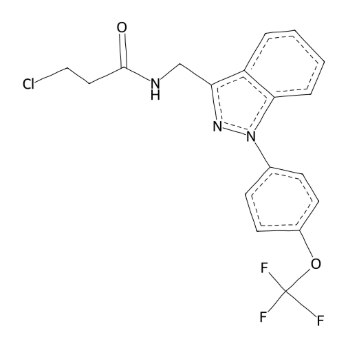 O=C(CCCl)NCc1nn(-c2ccc(OC(F)(F)F)cc2)c2ccccc12